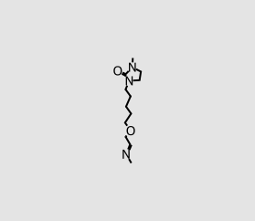 C/N=C/COCCCCCN1CCN(C)C1=O